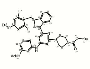 CCOc1cc(F)c(Cn2nc(-c3nc(Nc4ccnc(NC(C)=O)c4)cc(C4CCN(C(=O)OC(C)(C)C)CC4)n3)c3ccccc32)c(F)c1